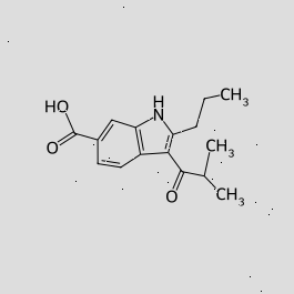 CCCc1[nH]c2cc(C(=O)O)ccc2c1C(=O)C(C)C